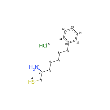 Cl.N[C@H](CS)CCCCCc1ccccc1